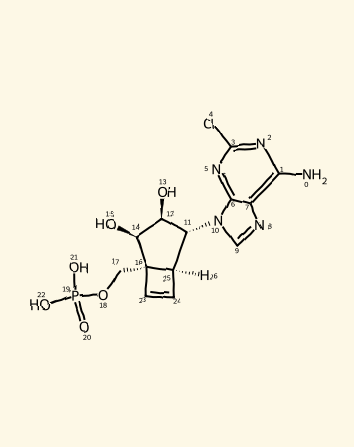 Nc1nc(Cl)nc2c1ncn2[C@H]1[C@H](O)[C@H](O)[C@]2(COP(=O)(O)O)C=C[C@H]12